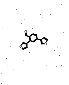 O=Cc1ccc(-c2ccoc2)cc1-c1ccoc1